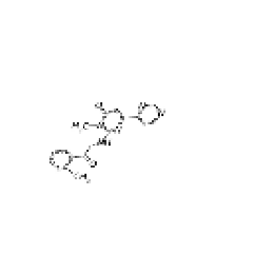 Cc1ccccc1C(=O)CNc1nc(-c2ccncn2)cc(=O)n1C